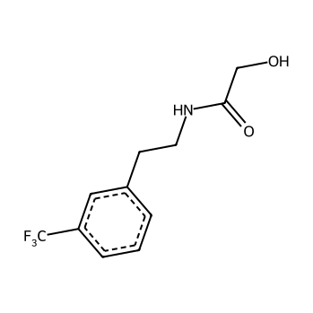 O=C(CO)NCCc1cccc(C(F)(F)F)c1